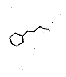 NCCCC1C[N]COC1